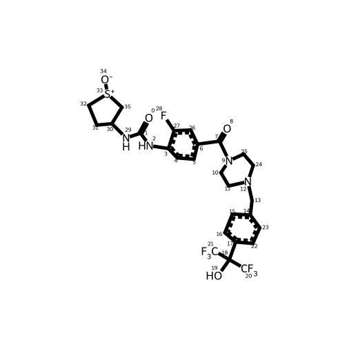 O=C(Nc1ccc(C(=O)N2CCN(Cc3ccc(C(O)(C(F)(F)F)C(F)(F)F)cc3)CC2)cc1F)NC1CC[S+]([O-])C1